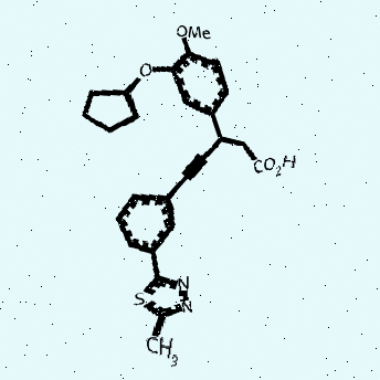 COc1ccc(C(C#Cc2cccc(-c3nnc(C)s3)c2)CC(=O)O)cc1OC1CCCC1